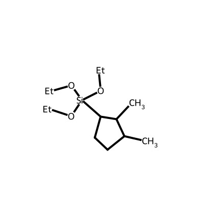 CCO[Si](OCC)(OCC)C1CCC(C)C1C